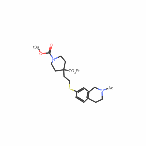 CCOC(=O)C1(CCSc2ccc3c(c2)CN(C(C)=O)CC3)CCN(C(=O)OC(C)(C)C)CC1